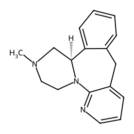 CN1CCN2c3ncccc3Cc3ccccc3[C@@H]2C1